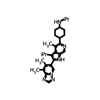 Cc1c(-c2[nH]c3cnc(C4CCC(NC(C)C)CC4)c(C)c3c2C(C)C)cn2ncnc2c1C